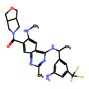 CNc1cc2c(NC(C)c3cc(N)cc(C(F)(F)F)c3)nc(C)nc2cc1C(=O)N1CC2COCC2C1